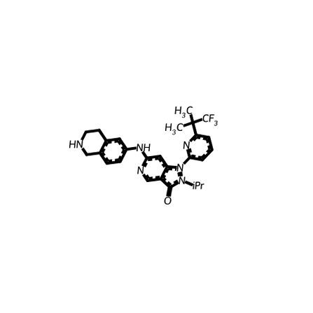 CC(C)n1c(=O)c2cnc(Nc3ccc4c(c3)CCNC4)cc2n1-c1cccc(C(C)(C)C(F)(F)F)n1